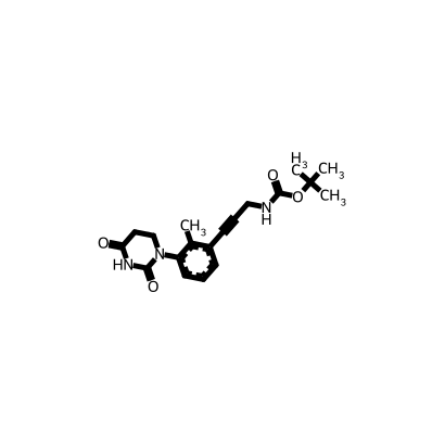 Cc1c(C#CCNC(=O)OC(C)(C)C)cccc1N1CCC(=O)NC1=O